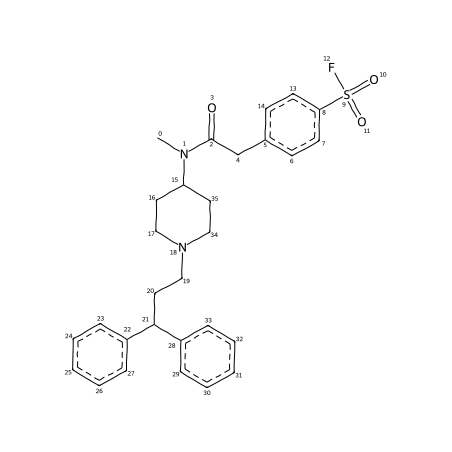 CN(C(=O)Cc1ccc(S(=O)(=O)F)cc1)C1CCN(CCC(c2ccccc2)c2ccccc2)CC1